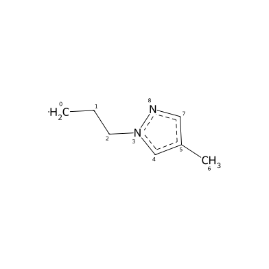 [CH2]CCn1cc(C)cn1